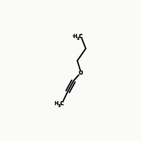 [CH2]CCOC#CC